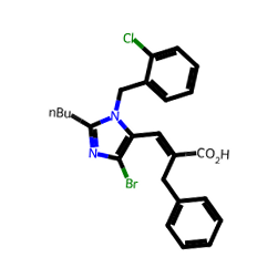 CCCCc1nc(Br)c(/C=C(\Cc2ccccc2)C(=O)O)n1Cc1ccccc1Cl